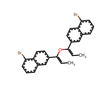 CC=C(OC(=CC)c1ccc2c(Br)cccc2c1)c1ccc2c(Br)cccc2c1